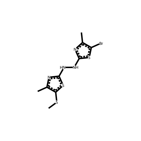 CSc1sc(NNc2nc(C)c(Br)s2)nc1C